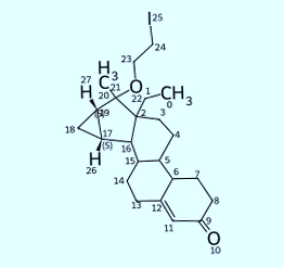 CCC12CCC3C4CCC(=O)C=C4CCC3C1[C@@H]1C[C@@H]1C2(C)OCCI